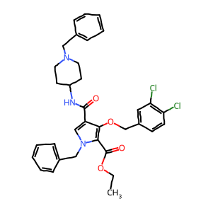 CCOC(=O)c1c(OCc2ccc(Cl)c(Cl)c2)c(C(=O)NC2CCN(Cc3ccccc3)CC2)cn1Cc1ccccc1